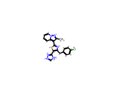 Cc1nn2ccccc2c1-c1nc(Cc2ccc(Cl)cc2)c(-c2nnc[nH]2)s1